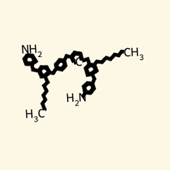 CCCCCCCCc1cc(Cc2ccc(N)cc2)ccc1Cc1ccc(Cc2ccc(Cc3ccc(Cc4ccc(N)cc4)cc3CCCCCCCC)cc2)cc1